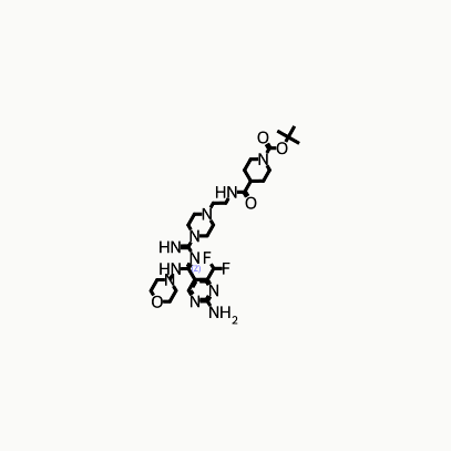 CC(C)(C)OC(=O)N1CCC(C(=O)NCCN2CCN(C(=N)/N=C(\NN3CCOCC3)c3cnc(N)nc3C(F)F)CC2)CC1